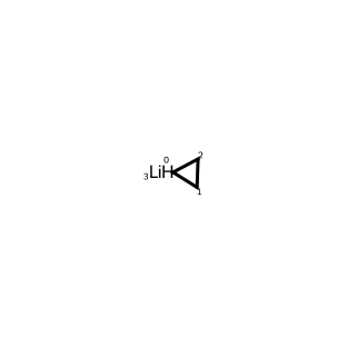 C1CC1.[LiH]